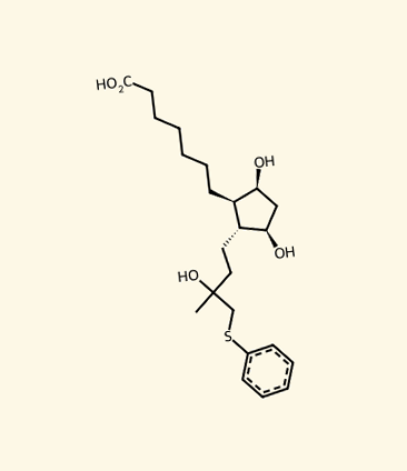 CC(O)(CC[C@@H]1[C@@H](CCCCCCC(=O)O)[C@@H](O)C[C@H]1O)CSc1ccccc1